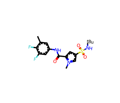 Cc1cc(NC(=O)c2cc(S(=O)(=O)NC(C)(C)C)cn2C)cc(F)c1F